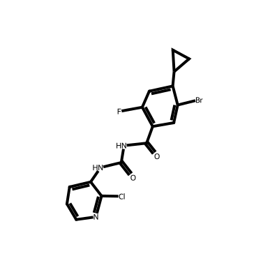 O=C(NC(=O)c1cc(Br)c(C2CC2)cc1F)Nc1cccnc1Cl